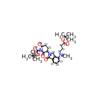 CN(CCCC(=O)OC(C)(C)C)c1cccc2c1CN(C1CCC(=O)N(C(=O)OC(C)(C)C)C1=O)C2=O